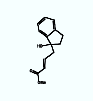 COC(=O)/C=C/CC1(O)CCc2ccccc21